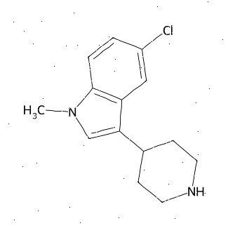 Cn1cc(C2CCNCC2)c2cc(Cl)ccc21